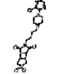 O=C1C2C3CS(=O)(=O)CC3C2C(=O)N1CCCCN1CCN(c2nccnc2Cl)CC1